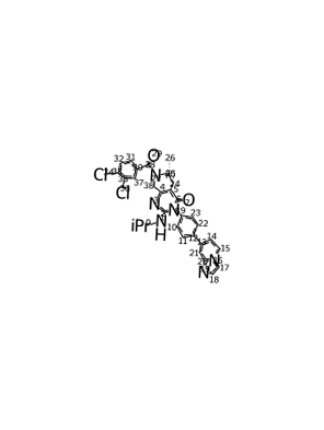 CC(C)Nc1nc2c(c(=O)n1-c1ccc(-c3ccn4ccnc4c3)cc1)C[C@@H](C)N(C(=O)c1ccc(Cl)c(Cl)c1)C2